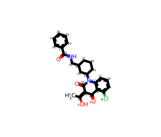 CC(O)=C1C(=O)c2c(Cl)cccc2N(C2CCCC(CNC(=O)c3ccccc3)C2)C1=O